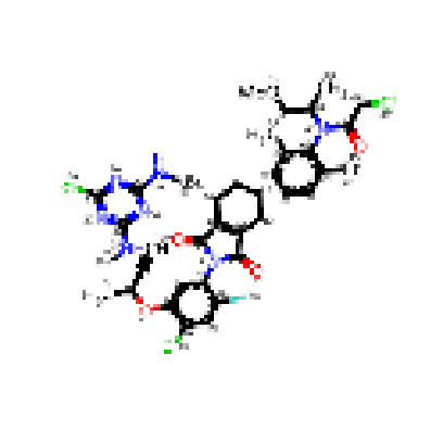 C#CC(C)Oc1cc(N2C(=O)C3=C(CCCC3)C2=O)c(F)cc1Cl.CCNc1nc(Cl)nc(NC(C)(C)C)n1.CCc1cccc(C)c1N(C(=O)CCl)C(C)COC